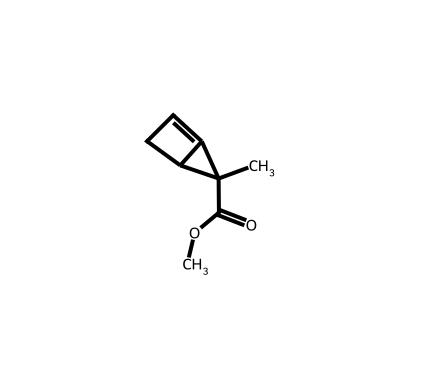 COC(=O)C1(C)C2=CCC21